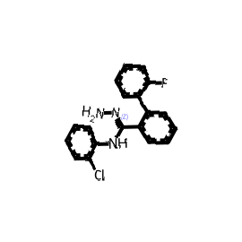 N/N=C(\Nc1ccccc1Cl)c1ccccc1-c1ccccc1F